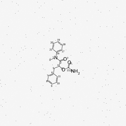 CN(C(=O)C(Cc1ccccc1)OC(N)=O)c1ccccc1